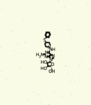 Nc1nc(NN2CCC(Sc3ccccc3)CC2)c2ncn([C@@H]3O[C@H](CO)[C@@H](O)[C@H]3O)c2n1